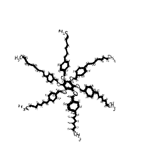 CCCCCCCC1CCC(COc2c(OCC3CCC(CCCCCCC)CC3)c(OCC3CCC(CCCCCCC)CC3)c(OCC3CCC(CCCCCCC)CC3)c(OCC3CCC(CCCCCCC)CC3)c2OCC2CCC(CCCCCCC)CC2)CC1